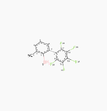 Bc1c(C#N)cccc1-c1c(F)c(F)c(F)c(F)c1F